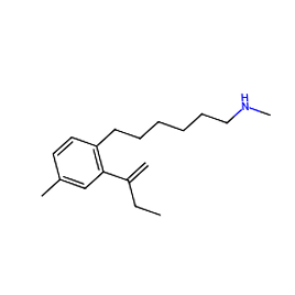 C=C(CC)c1cc(C)ccc1CCCCCCNC